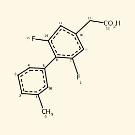 Cc1cccc(-c2c(F)cc(CC(=O)O)cc2F)c1